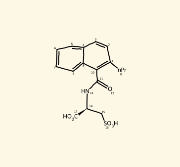 CCCc1ccc2ccccc2c1C(=O)N[C@@H](CS(=O)(=O)O)C(=O)O